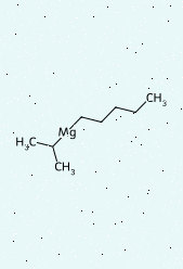 CCCC[CH2][Mg][CH](C)C